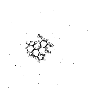 CC1(C)CCC2=C(C1=O)C(c1cc(Br)cc(Br)c1O)n1nccc1N2